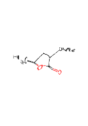 COC1CC(C)OC1=O